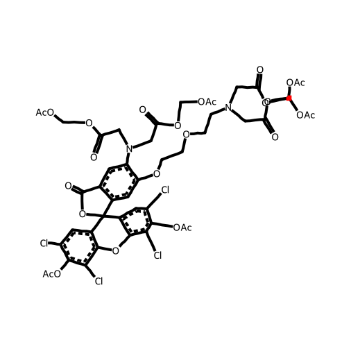 CC(=O)OCOC(=O)CN(CCOCCOc1cc2c(cc1N(CC(=O)OCOC(C)=O)CC(=O)OCOC(C)=O)C(=O)OC21c2cc(Cl)c(OC(C)=O)c(Cl)c2Oc2c1cc(Cl)c(OC(C)=O)c2Cl)CC(=O)OCOC(C)=O